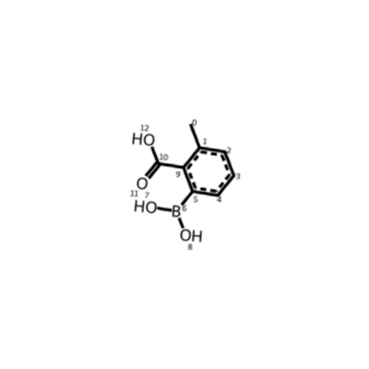 Cc1cccc(B(O)O)c1C(=O)O